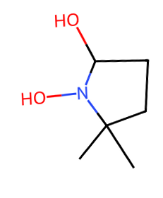 CC1(C)CCC(O)N1O